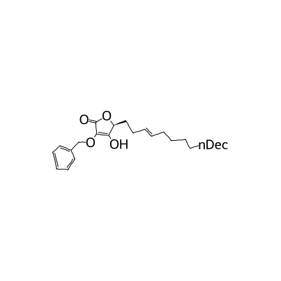 CCCCCCCCCCCCCCC=CCC[C@@H]1OC(=O)C(OCc2ccccc2)=C1O